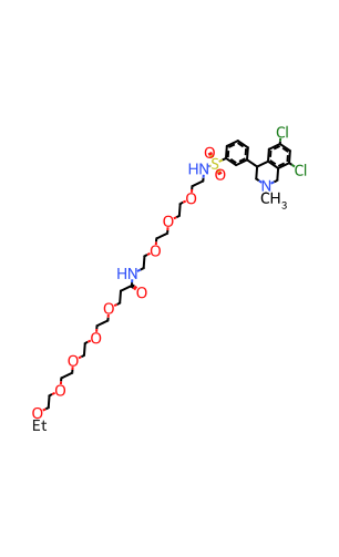 CCOCCOCCOCCOCCOCCC(=O)NCCOCCOCCOCCNS(=O)(=O)c1cccc(C2CN(C)Cc3c(Cl)cc(Cl)cc32)c1